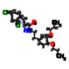 CCCOc1ccc(CCNC(=O)/C=C/c2ccc(Cl)cc2Cl)cc1OCCC